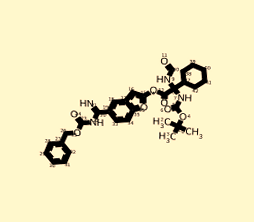 CC(C)(C)OC(=O)NC(NC=O)(C(=O)Oc1cc2cc(C(=N)NC(=O)OCc3ccccc3)ccc2o1)C1CCCCC1